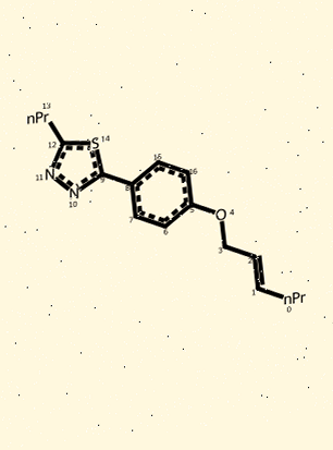 CCC/C=C/COc1ccc(-c2nnc(CCC)s2)cc1